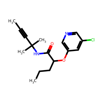 CC#CC(C)(C)NC(=O)C(CCC)Oc1cncc(Cl)c1